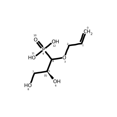 C=CCOC([C@@H](O)CO)P(=O)(O)O